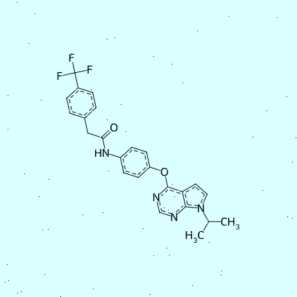 CC(C)n1ccc2c(Oc3ccc(NC(=O)Cc4ccc(C(F)(F)F)cc4)cc3)ncnc21